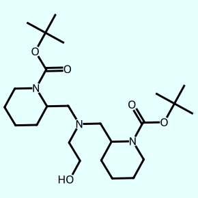 CC(C)(C)OC(=O)N1CCCCC1CN(CCO)CC1CCCCN1C(=O)OC(C)(C)C